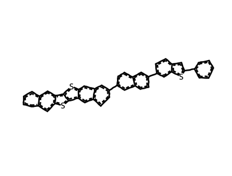 c1ccc(-c2cc3ccc(-c4ccc5cc(-c6ccc7cc8c(cc7c6)sc6c7cc9ccccc9cc7sc86)ccc5c4)cc3s2)cc1